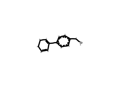 BrCc1ccc(C2=CCCC=C2)cc1